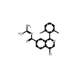 CCc1cnc(-c2c(F)cccc2F)c2cc(C(=O)N=C(N)N)ccc12